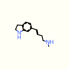 CNCCC=Cc1ccc2c(c1)NCC2